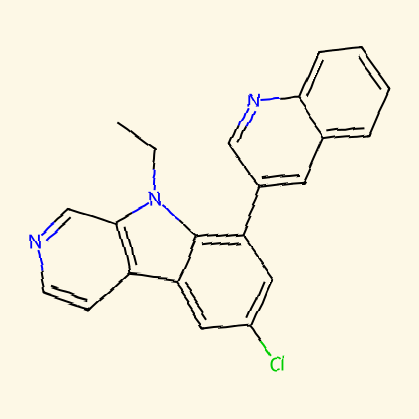 CCn1c2cnccc2c2cc(Cl)cc(-c3cnc4ccccc4c3)c21